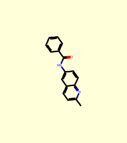 Cc1ccc2cc(NC(=O)c3ccccc3)ccc2n1